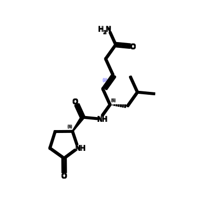 CC(C)C[C@@H](/C=C/CC(N)=O)NC(=O)[C@@H]1CCC(=O)N1